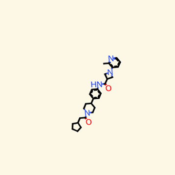 Cc1ncccc1N1CC(C(=O)Nc2ccc(C3CCN(C(=O)CC4CCCC4)CC3)cc2)C1